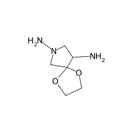 NC1CN(N)CC12OCCO2